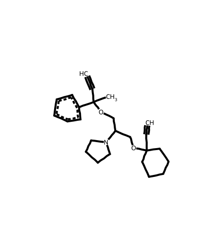 C#CC1(OCC(COC(C)(C#C)c2ccccc2)N2CCCC2)CCCCC1